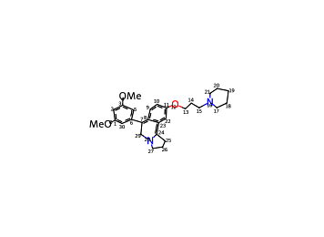 COc1cc(OC)cc(C2=c3ccc(OCCCN4CCCCC4)cc3=C3CCCN3C2)c1